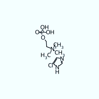 C[N+](C)(C)CCOP(=O)(O)O.[Cl-].c1c[nH]cn1